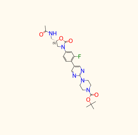 CC(=O)NC[C@H]1CN(c2ccc(-c3cnc(N4CCN(C(=O)OC(C)(C)C)CC4)nc3)c(F)c2)C(=O)O1